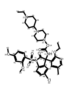 CCOc1ncc(C)cc1C1(NC(=O)ON2CCN(C3CCN(CC)CC3)CC2)C(=O)N(S(=O)(=O)c2ccc(OC)cc2OC)c2ccc(Cl)cc21